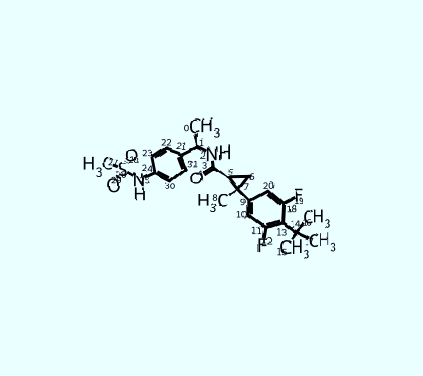 C[C@@H](NC(=O)[C@H]1C[C@]1(C)c1cc(F)c(C(C)(C)C)c(F)c1)c1ccc(NS(C)(=O)=O)cc1